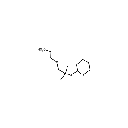 CC(C)(COCCC(=O)O)OC1CCCCO1